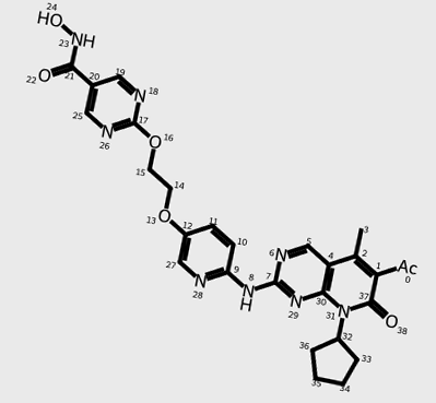 CC(=O)c1c(C)c2cnc(Nc3ccc(OCCOc4ncc(C(=O)NO)cn4)cn3)nc2n(C2CCCC2)c1=O